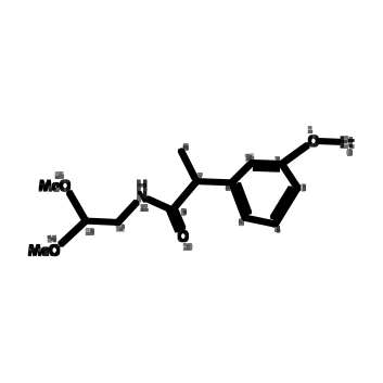 CCOc1cccc(C(C)C(=O)NCC(OC)OC)c1